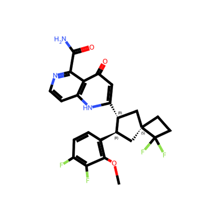 COc1c([C@@H]2C[C@@]3(CCC3(F)F)C[C@H]2c2cc(=O)c3c(C(N)=O)nccc3[nH]2)ccc(F)c1F